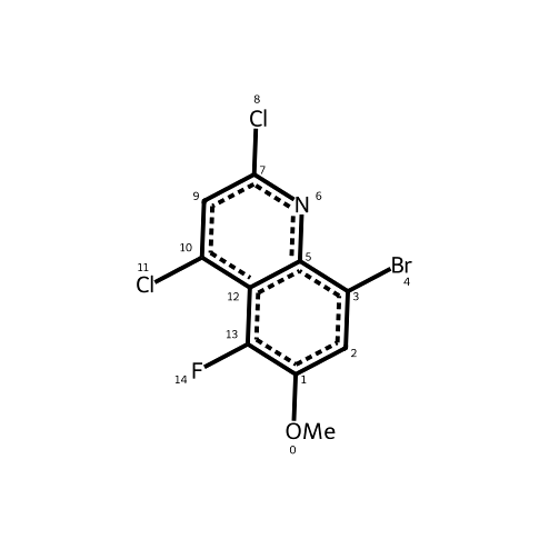 COc1cc(Br)c2nc(Cl)cc(Cl)c2c1F